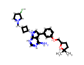 CC1(C)CCC(COc2cccc(-c3cn([C@H]4C[C@@H](CN5CC[C@@H](F)C5)C4)c4ncnc(N)c34)c2)O1